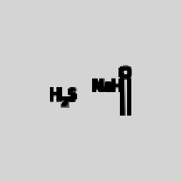 C=O.S.[NaH]